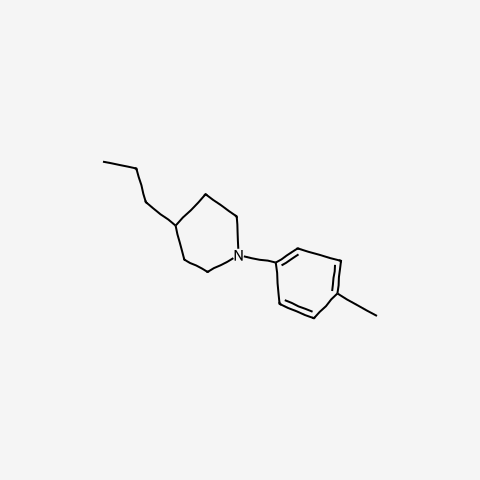 CCCC1CCN(c2ccc(C)cc2)CC1